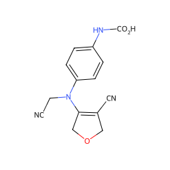 N#CCN(C1=C(C#N)COC1)c1ccc(NC(=O)O)cc1